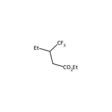 CCOC(=O)CC(CC)C(F)(F)F